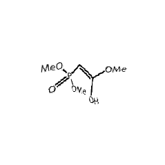 CO/C(O)=C/P(=O)(OC)OC